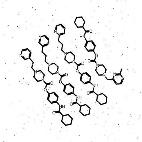 Cc1cccc(CN2CCN(C(=O)Oc3ccc(NC(=O)C4CCCCC4)cc3)CC2)n1.O=C(Nc1ccc(OC(=O)N2CCN(CCCc3ccccn3)CC2)cc1)C1CCCCC1.O=C(Nc1ccc(OC(=O)N2CCN(CCCc3cccnc3)CC2)cc1)C1CCCCC1.O=C(Nc1ccc(OC(=O)N2CCN(CCc3cccnc3)CC2)cc1)C1CCCCC1